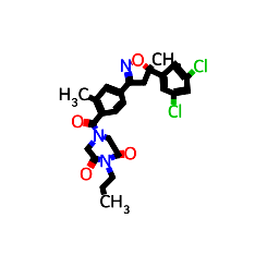 CCCN1C(=O)CN(C(=O)c2ccc(C3=NOC(C)(c4cc(Cl)cc(Cl)c4)C3)cc2C)CC1=O